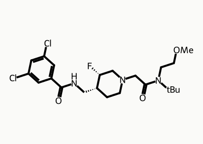 COCCN(C(=O)CN1CC[C@H](CNC(=O)c2cc(Cl)cc(Cl)c2)[C@H](F)C1)C(C)(C)C